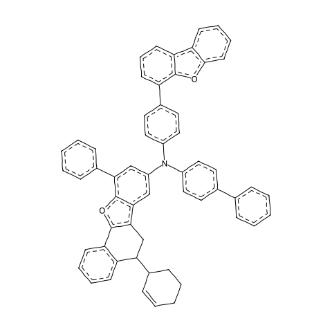 C1=CC(C2Cc3c(oc4c(-c5ccccc5)cc(N(c5ccc(-c6ccccc6)cc5)c5ccc(-c6cccc7c6oc6ccccc67)cc5)cc34)-c3ccccc32)CCC1